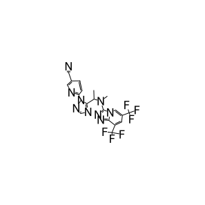 CC(c1ncnn1-c1ccc(C#N)cn1)N(C)c1nnc2c(C(F)(F)F)cc(C(F)(F)F)cn12